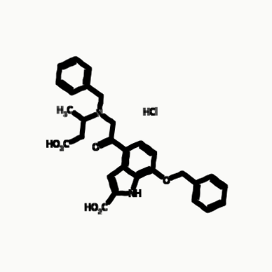 CC(CC(=O)O)N(CC(=O)c1ccc(OCc2ccccc2)c2[nH]c(C(=O)O)cc12)Cc1ccccc1.Cl